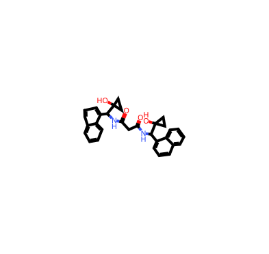 O=C(CC(=O)NC(c1cccc2ccccc12)C1(O)CC1)NC(c1cccc2ccccc12)C1(O)CC1